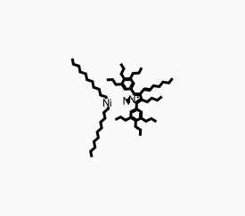 CCCCCC=CC1=C(c2cc(CCC)c(CCC)c(CCC)c2)[N+](=[N-])C(c2cc(CCC)c(CCC)c(CCC)c2)=C1CCCC.CCCCCCCCCC[CH2][Ni][CH2]CCCCCCCCCC